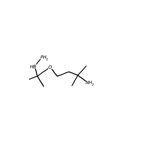 CC(C)(N)CCOC(C)(C)BP